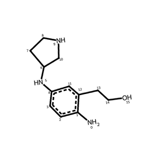 Nc1ccc(NC2CCNC2)cc1CCO